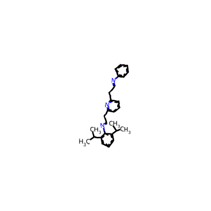 CC(C)c1cccc(C(C)C)c1N=CCc1cccc(CC=Nc2ccccc2)n1